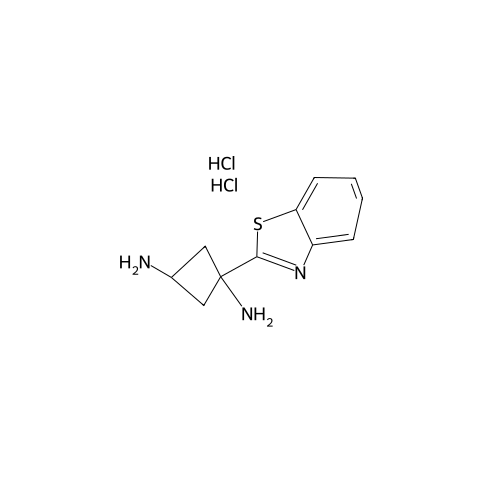 Cl.Cl.NC1CC(N)(c2nc3ccccc3s2)C1